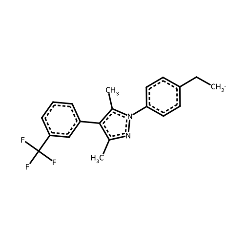 [CH2]Cc1ccc(-n2nc(C)c(-c3cccc(C(F)(F)F)c3)c2C)cc1